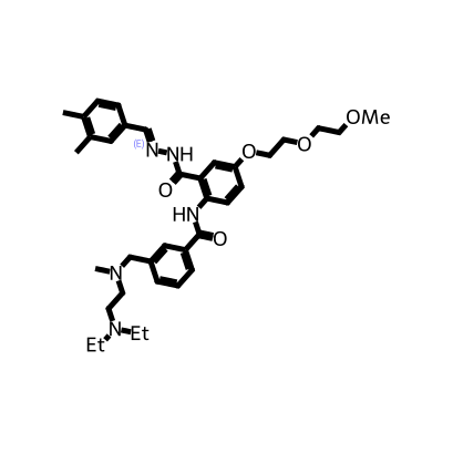 CCN(CC)CCN(C)Cc1cccc(C(=O)Nc2ccc(OCCOCCOC)cc2C(=O)N/N=C/c2ccc(C)c(C)c2)c1